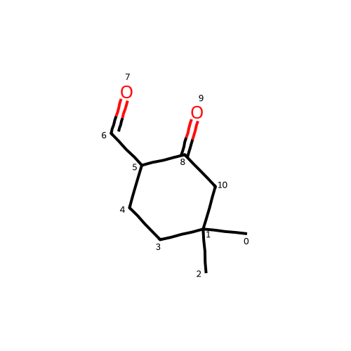 CC1(C)CCC(C=O)C(=O)C1